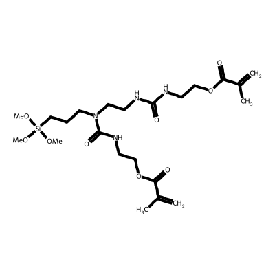 C=C(C)C(=O)OCCNC(=O)NCCN(CCC[Si](OC)(OC)OC)C(=O)NCCOC(=O)C(=C)C